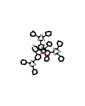 c1ccc(-c2nc(-c3ccccc3)nc(-c3ccc(-n4c5ccc(-c6nc(-c7ccccc7)nc(-c7ccccc7)n6)cc5c5cc(-c6nc(-c7ccccc7)nc(-c7ccccc7)n6)ccc54)c(-c4ccncc4-c4nc(-c5ccccc5)nc(-c5ccccc5)n4)c3)n2)cc1